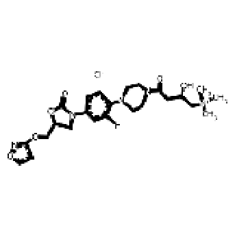 C[N+](C)(C)C[C@H](O)CC(=O)N1CCN(c2ccc(N3CC(COc4ccon4)OC3=O)cc2F)CC1.[Cl-]